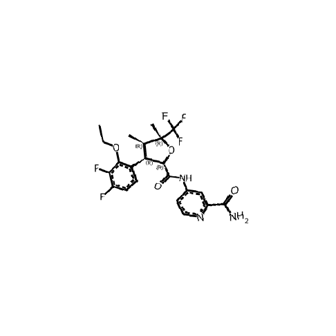 CCOc1c([C@H]2[C@@H](C)[C@](C)(C(F)(F)F)O[C@H]2C(=O)Nc2ccnc(C(N)=O)c2)ccc(F)c1F